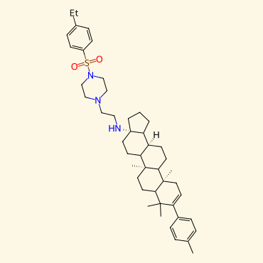 CCc1ccc(S(=O)(=O)N2CCN(CCN[C@]34CCCC3[C@H]3CCC5[C@@](C)(CCC6C(C)(C)C(c7ccc(C)cc7)=CC[C@@]65C)C3CC4)CC2)cc1